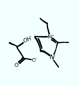 CC(O)C(=O)[O-].CC[n+]1ccn(C)c1C